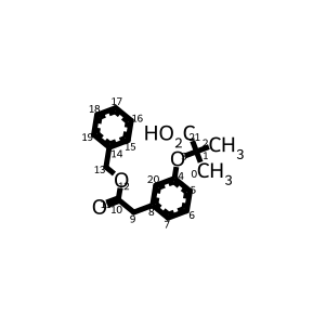 CC(C)(Oc1cccc(CC(=O)OCc2ccccc2)c1)C(=O)O